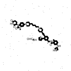 Cc1ccc(NC2CNC2)cc1C(=O)N[C@H](C)c1ccc(C#CC2CCN(CCCCCC3CCN(c4ccc5c(c4)n(C)c(=O)n5C4CCC(=O)NC4=O)CC3)CC2)c(-c2cccs2)c1.O=CO